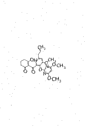 C=CCc1cc(OC)c(Oc2nc(OC)cc(OC)n2)c(C(=O)C2=C(O)CCCC2=O)c1